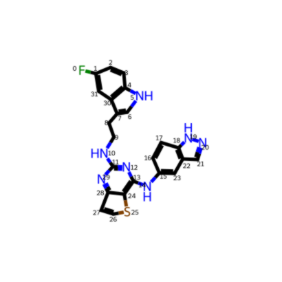 Fc1ccc2[nH]cc(CCNc3nc(Nc4ccc5[nH]ncc5c4)c4sccc4n3)c2c1